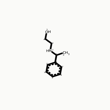 CC(NCCO)c1ccccc1